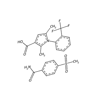 CS(=O)(=O)c1ccc(C(N)=O)cc1.Cc1cc(C(=O)O)c(C)n1-c1ccccc1C(F)(F)F